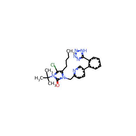 CCCCc1c(Cl)n(C(C)(C)C)c(=O)n1Cc1ccc(-c2ccccc2-c2nnn[nH]2)cn1